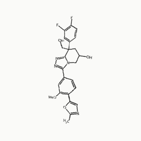 COc1cc(-c2nnc3n2CC(O)CC3(CO)c2ccc(F)c(F)c2)ccc1-c1cnc(C)o1